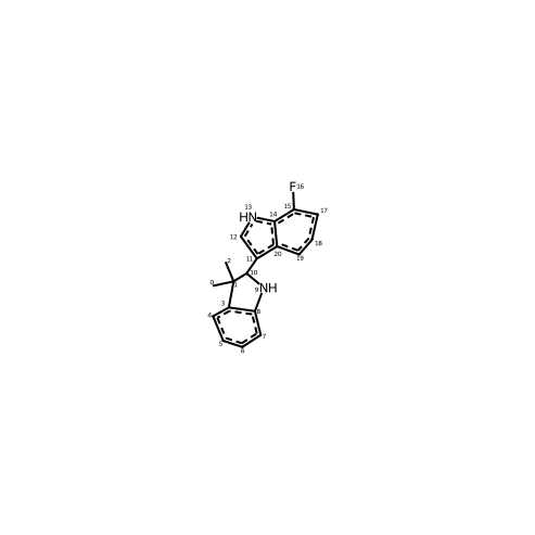 CC1(C)c2ccccc2NC1c1c[nH]c2c(F)cccc12